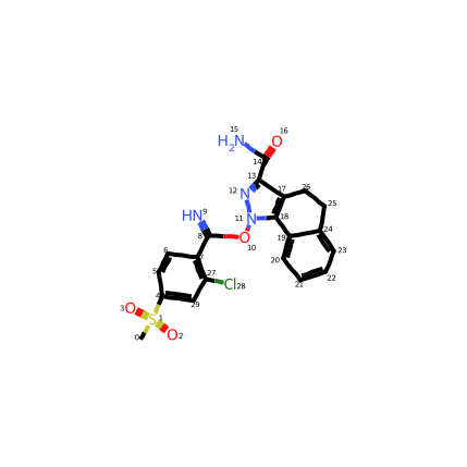 CS(=O)(=O)c1ccc(C(=N)On2nc(C(N)=O)c3c2-c2ccccc2CC3)c(Cl)c1